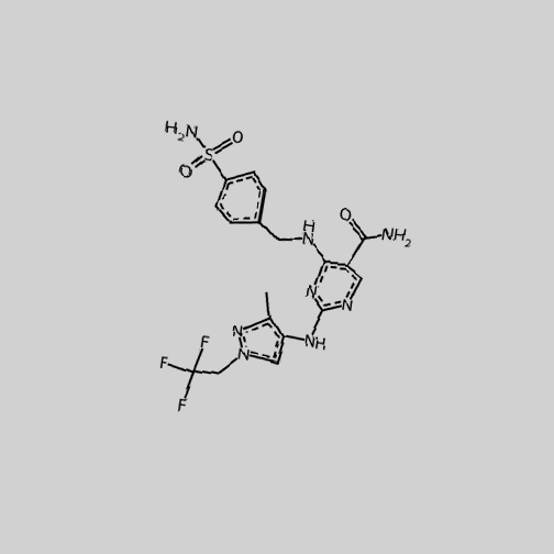 Cc1nn(CC(F)(F)F)cc1Nc1ncc(C(N)=O)c(NCc2ccc(S(N)(=O)=O)cc2)n1